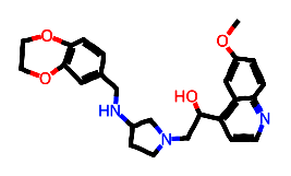 COc1ccc2nccc(C(O)CN3CCC(NCc4ccc5c(c4)OCCO5)C3)c2c1